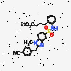 CCOC(=O)CCCc1ccccc1NS(=O)(=O)c1ccc2c(c1)nc(Cc1ccc(C#N)cc1)n2C